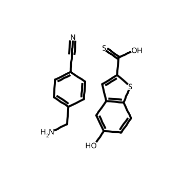 N#Cc1ccc(CN)cc1.OC(=S)c1cc2cc(O)ccc2s1